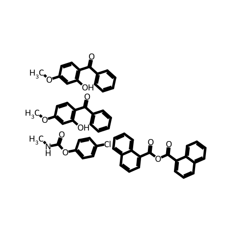 CNC(=O)Oc1ccc(Cl)cc1.COc1ccc(C(=O)c2ccccc2)c(O)c1.COc1ccc(C(=O)c2ccccc2)c(O)c1.O=C(OC(=O)c1cccc2ccccc12)c1cccc2ccccc12